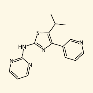 CC(C)c1sc(Nc2ncccn2)nc1-c1cccnc1